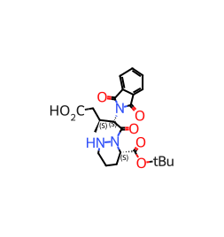 C[C@@H](CC(=O)O)[C@@H](C(=O)N1NCCC[C@H]1C(=O)OC(C)(C)C)N1C(=O)c2ccccc2C1=O